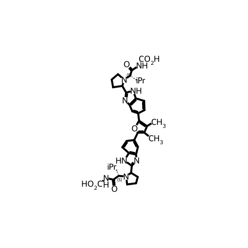 Cc1c(-c2ccc3[nH]c(C4CCCN4[C@H](C(=O)NC(=O)O)C(C)C)nc3c2)oc(-c2ccc3[nH]c(C4CCCN4[C@H](C(=O)NC(=O)O)C(C)C)nc3c2)c1C